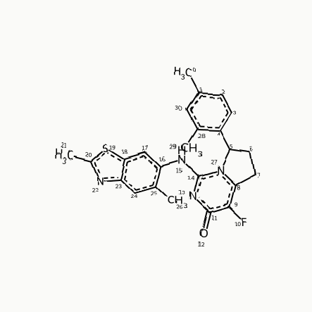 Cc1ccc(C2CCc3c(F)c(=O)nc(Nc4cc5sc(C)nc5cc4C)n32)c(C)c1